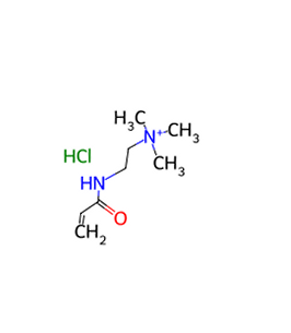 C=CC(=O)NCC[N+](C)(C)C.Cl